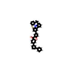 CC1(C)c2cccc3c2-n2c4c(cc(-c5ccc6oc7cc(-c8cccc(-c9ccccc9)c8)ccc7c(=O)c6c5)cc4c4cccc1c42)S3